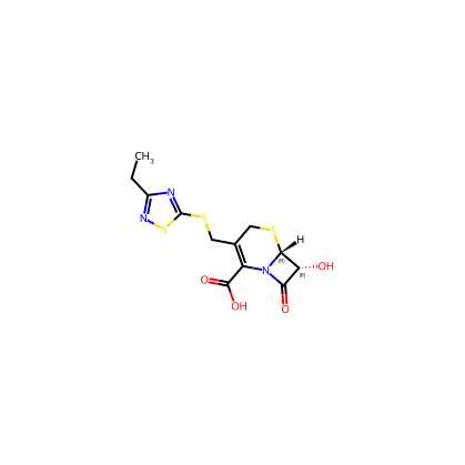 CCc1nsc(SCC2=C(C(=O)O)N3C(=O)[C@@H](O)[C@H]3SC2)n1